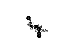 COC1=CC=C([C@H]2CN(C(=O)C(C)(C)NC(=O)OCc3ccccc3)C[C@@]2(C)[C@@H](C)O)C(=O)C1C1Cc2ccccc2C1